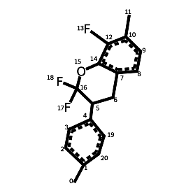 Cc1ccc(C2Cc3ccc(C)c(F)c3OC2(F)F)cc1